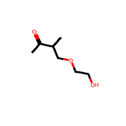 CC(=O)C(C)COCCO